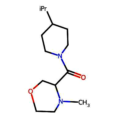 CC(C)C1CCN(C(=O)C2COCCN2C)CC1